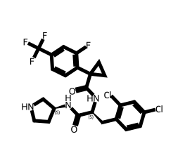 O=C(N[C@H]1CCNC1)[C@H](Cc1ccc(Cl)cc1Cl)NC(=O)C1(c2ccc(C(F)(F)F)cc2F)CC1